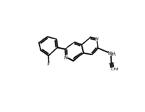 C#CNc1cc2cnc(-c3ccccc3F)cc2cn1